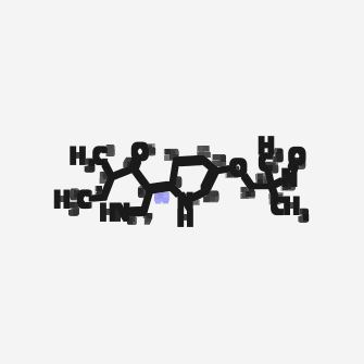 CCC(C)C(=O)/C(C=N)=C1\C=CC(OCC(C)(C)N=O)=CN1